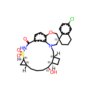 O=C1NS(=O)(=O)[C@@H]2C[C@H]2CCC[C@H](O)[C@@H]2CC[C@H]2CN2C[C@@]3(CCCc4cc(Cl)ccc43)COc3ccc1cc32